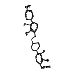 CCCCCc1ccc(C2CCC(CCc3ccc(-c4ccc(CCC)cc4)c(F)c3F)CC2)c(F)c1F